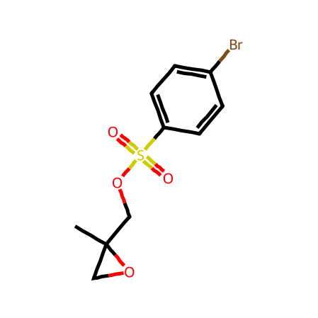 CC1(COS(=O)(=O)c2ccc(Br)cc2)CO1